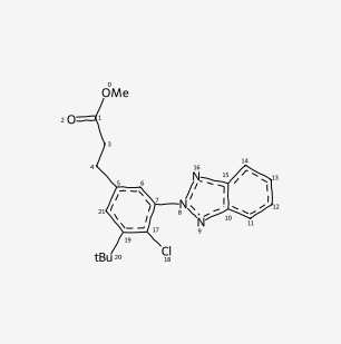 COC(=O)CCc1cc(-n2nc3ccccc3n2)c(Cl)c(C(C)(C)C)c1